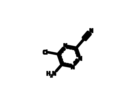 N#Cc1nnc(N)c(Cl)n1